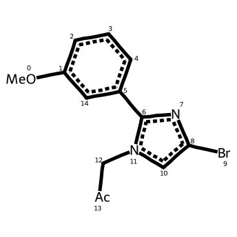 COc1cccc(-c2nc(Br)cn2CC(C)=O)c1